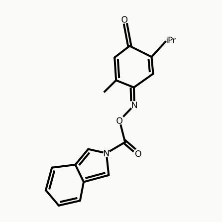 CC1=CC(=O)C(C(C)C)=C/C1=N/OC(=O)n1cc2ccccc2c1